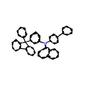 c1ccc(-c2ccc(N(c3cccc(C4(c5ccccc5)c5ccccc5-c5ccccc54)c3)c3cccc4ccccc34)cc2)cc1